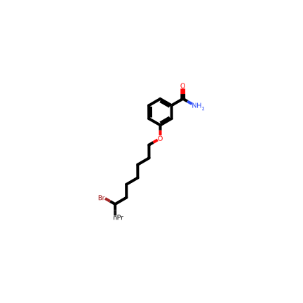 CCCC(Br)CCCCCCOc1cccc(C(N)=O)c1